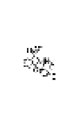 CC(=O)NC(c1cccc(Cl)c1)c1cc([N+](=O)[O-])c2cccnc2c1O